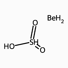 O=[SH](=O)O.[BeH2]